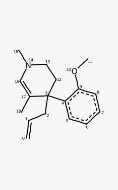 C=CCC1(c2ccccc2OC)CCN(C)C=C1C